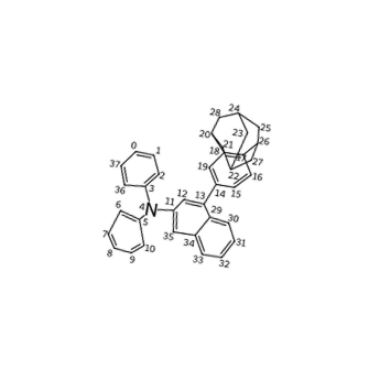 c1ccc(N(c2ccccc2)c2cc(-c3ccc4c(c3)C3CC5CC(CC4C5)C3)c3ccccc3c2)cc1